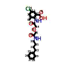 Cc1cc(Cl)cc(C(=O)O)c1NC(=O)COCC(=O)NCCCCc1ccccc1